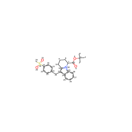 CC(C)(C)OC(=O)C1CCCc2c(Cc3ccc(S(C)(=O)=O)cc3)c3ccccc3n21